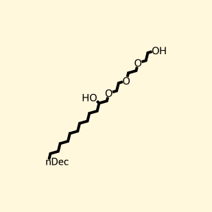 CCCCCCCCCCCCCCCCCCCCC(O)COCCOCCOCCO